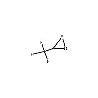 FC(F)(F)C1OS1